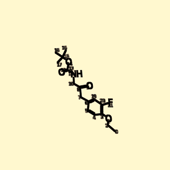 CCOc1ccc(CC(=O)CNC(=O)OC(C)(C)C)cc1F